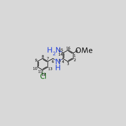 COc1ccc(NCc2cccc(Cl)c2)c(N)c1